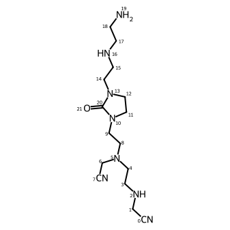 N#CCNCCN(CC#N)CCN1CCN(CCNCCN)C1=O